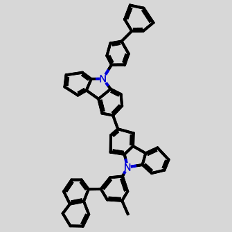 Cc1cc(-c2cccc3c2C=CCC3)cc(-n2c3ccccc3c3cc(-c4ccc5c(c4)c4ccccc4n5-c4ccc(-c5ccccc5)cc4)ccc32)c1